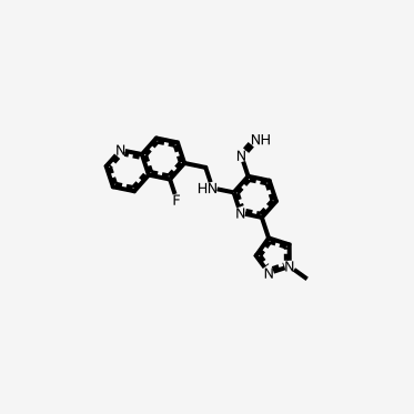 Cn1cc(-c2ccc(N=N)c(NCc3ccc4ncccc4c3F)n2)cn1